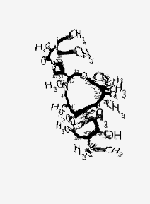 CCN(CC)C(C)C(=O)N1CC([C@H]2COC(=O)C(C)(C)C(=O)[C@H](C)[C@@H](O[C@@H]3O[C@H](C)C[C@H](N(C)C)[C@H]3O)[C@](C)(OC)C[C@@H](C)CN2C)C1